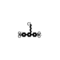 O=[N+]([O-])c1ccc(-c2ccc(-c3ccc([N+](=O)[O-])cc3)c(CCCCCCl)c2)cc1